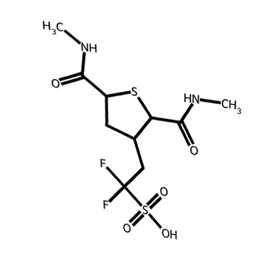 CNC(=O)C1CC(CC(F)(F)S(=O)(=O)O)C(C(=O)NC)S1